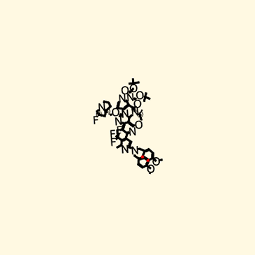 COc1ccc(CN(Cc2ccc(OC)cc2)c2cc(-c3nc4c5c(nc(OC[C@@]67CCCN6C[C@H](F)C7)nc5c3F)N([C@H](C)c3cccnc3N(C(=O)OC(C)(C)C)C(=O)OC(C)(C)C)[C@@H](C)CO4)c(C(F)(F)F)c(C)n2)cc1